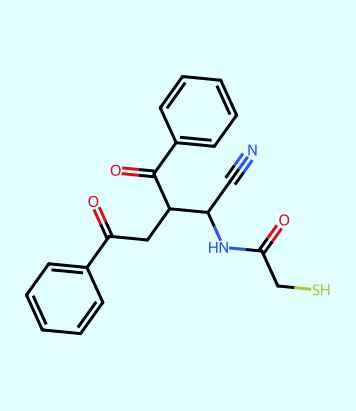 N#CC(NC(=O)CS)C(CC(=O)c1ccccc1)C(=O)c1ccccc1